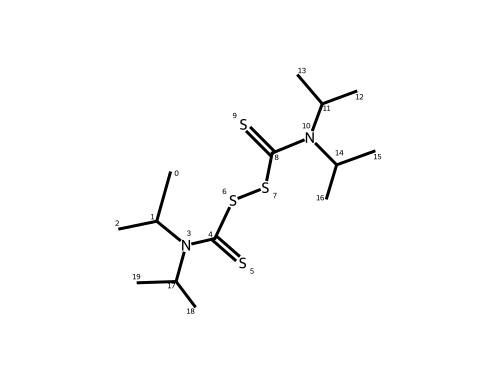 CC(C)N(C(=S)SSC(=S)N(C(C)C)C(C)C)C(C)C